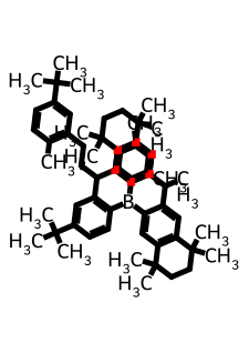 Cc1cc(C)c2c(c1)C(CCc1cc(C(C)(C)C)ccc1C)c1cc(C(C)(C)C)ccc1B2c1cc2c(cc1C(C)c1ccc3c(c1)C(C)(C)CCC3(C)C)C(C)(C)CCC2(C)C